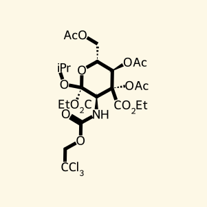 CCOC(=O)[C@]1(OC(C)C)O[C@H](COC(C)=O)[C@@H](OC(C)=O)[C@@](OC(C)=O)(C(=O)OCC)[C@H]1NC(=O)OCC(Cl)(Cl)Cl